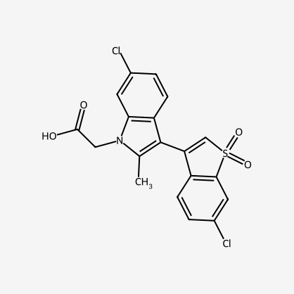 Cc1c(C2=CS(=O)(=O)c3cc(Cl)ccc32)c2ccc(Cl)cc2n1CC(=O)O